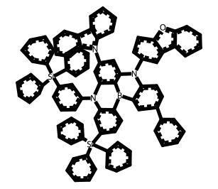 c1ccc(-c2ccc3c(c2)B2c4ccc([Si](c5ccccc5)(c5ccccc5)c5ccccc5)cc4N(c4cccc([Si](c5ccccc5)(c5ccccc5)c5ccccc5)c4)c4cc(-n5c6ccccc6c6ccccc65)cc(c42)N3c2ccc3oc4ccccc4c3c2)cc1